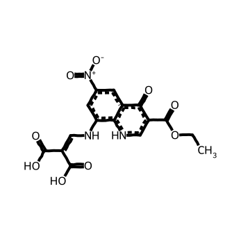 CCOC(=O)c1c[nH]c2c(NC=C(C(=O)O)C(=O)O)cc([N+](=O)[O-])cc2c1=O